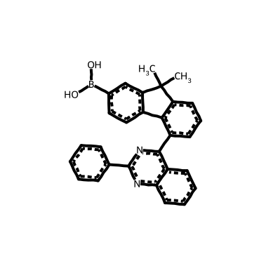 CC1(C)c2cc(B(O)O)ccc2-c2c(-c3nc(-c4ccccc4)nc4ccccc34)cccc21